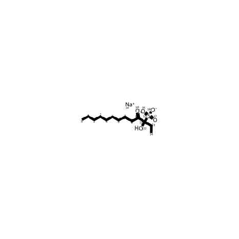 CCCCCCCCCC(=O)C(O)(CC)S(=O)(=O)[O-].[Na+]